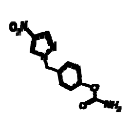 NC(=O)Oc1ccc(Cn2cc([N+](=O)[O-])cn2)cc1